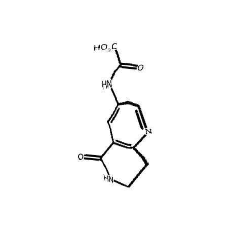 O=C(O)C(=O)Nc1cnc2c(c1)C(=O)NCC2